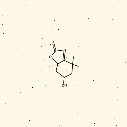 CC1(C)C[C@H](O)C[C@@]2(C)OC(=O)C=C12